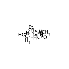 CC[C@@H]1C[C@H](O)[C@@]2(C)CC[C@H]3[C@@H](CC[C@H]4N(C)C(=O)CC[C@]34C)[C@H]12